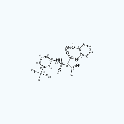 COc1ccccc1N1N=C(C)C(C(=O)Nc2cccc(C(C)(F)F)c2)C1=O